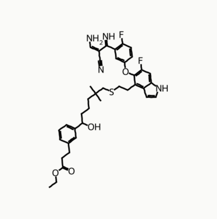 CCOC(=O)CCc1cccc(C(O)CCCC(C)(C)CSCCc2c(Oc3ccc(F)c(C(=N)/C(C#N)=C\N)c3)c(F)cc3[nH]ccc23)c1